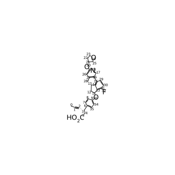 CC#C[C@@H](CC(=O)O)c1ccc(O[C@@H]2CCc3c(-c4cnc(O[C@@H]5CCOC5)cc4C)ccc(F)c32)cc1